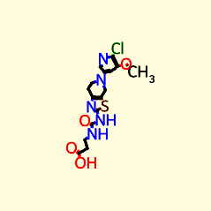 COc1cc(N2CCc3nc(NC(=O)NCCC(=O)O)sc3C2)cnc1Cl